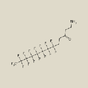 NCCC(=O)CCC(F)(F)C(F)(F)C(F)(F)C(F)(F)C(F)(F)C(F)(F)C(F)(F)C(F)(F)F